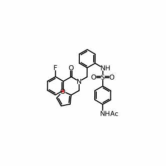 CC(=O)Nc1ccc(S(=O)(=O)Nc2ccccc2CN(Cc2ccco2)C(=O)c2ccccc2F)cc1